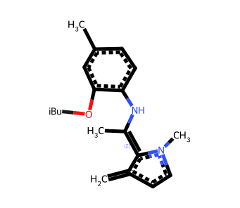 C=c1ccn(C)/c1=C(/C)Nc1ccc(C)cc1OC(C)CC